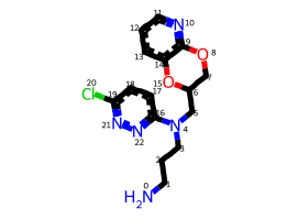 NCCCN(CC1COc2ncccc2O1)c1ccc(Cl)nn1